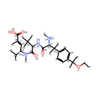 CCOC(C)(C)c1ccc(C(C)(C)[C@H](NC)C(=O)NC(C(=O)N(C)[C@H](/C=C(\C)C(=O)O)C(C)C)C(C)(C)C)cc1